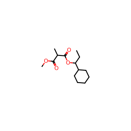 CCC(OC(=O)C(C)C(=O)OC)C1CCCCC1